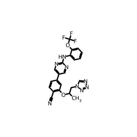 CC(Cn1cnnn1)Oc1cc(-c2cnc(Nc3ccccc3OC(F)(F)F)nc2)ccc1C#N